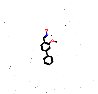 COc1cc(-c2ccccc2)ccc1C=NO